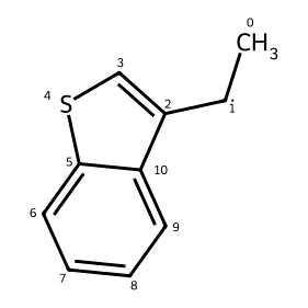 C[CH]c1csc2ccccc12